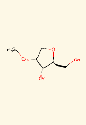 OC[C@@H]1O[CH][C@@H](O[SiH3])[C@H]1O